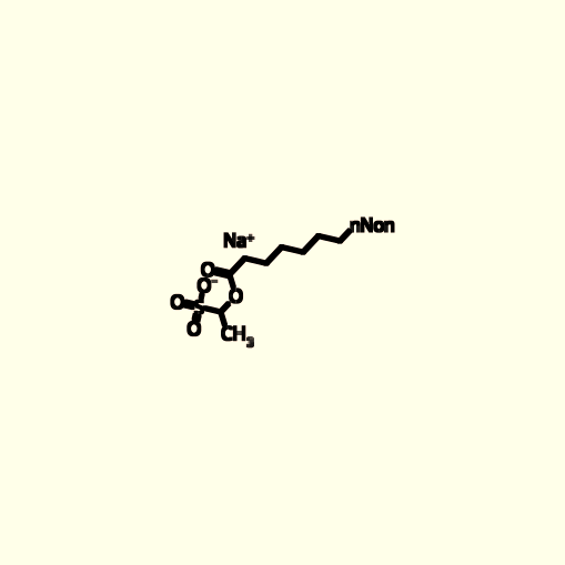 CCCCCCCCCCCCCCCC(=O)OC(C)S(=O)(=O)[O-].[Na+]